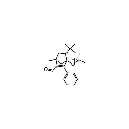 C[SiH](C)OC12CC(C)(CC1C(C)(C)C)C(C=O)=C2c1ccccc1